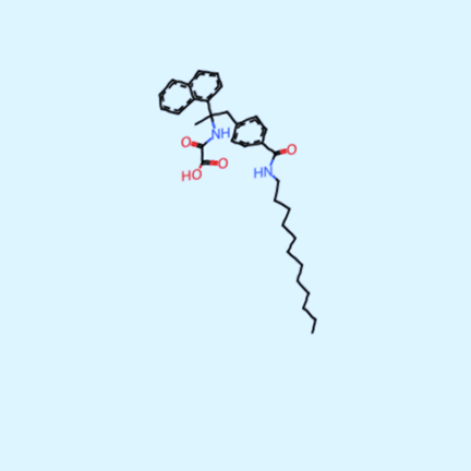 CCCCCCCCCCCCNC(=O)c1ccc(CC(C)(NC(=O)C(=O)O)c2cccc3ccccc23)cc1